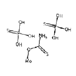 NC(=S)[O][Mo].OP(O)(O)=S.OP(O)(O)=S